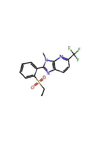 CCS(=O)(=O)c1ccccc1-c1nc2ccc(C(F)(F)F)nc2n1C